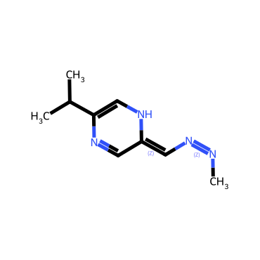 C/N=N\C=C1\C=NC(C(C)C)=CN1